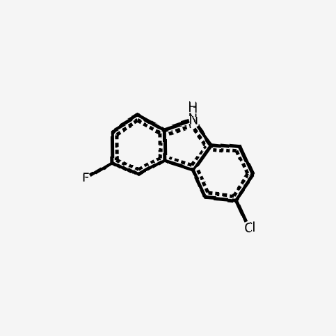 Fc1ccc2[nH]c3ccc(Cl)cc3c2c1